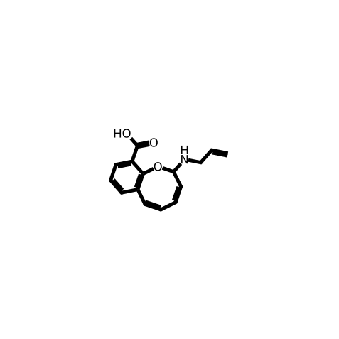 C=CCNC1C=CC=Cc2cccc(C(=O)O)c2O1